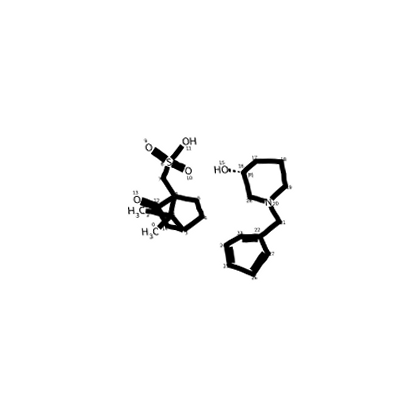 CC1(C)C2CCC1(CS(=O)(=O)O)C(=O)C2.O[C@@H]1CCCN(Cc2ccccc2)C1